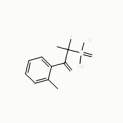 Cc1ccccc1C(=O)C(F)(F)P(=O)(O)O